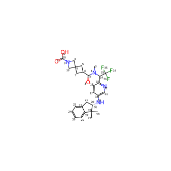 CN(C(=O)C1CC2(C1)CN(C(=O)O)C2)C(c1ccc(N[C@H]2Cc3ccccc3C2(C)C)cn1)C(F)(F)F